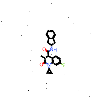 CC1C(=O)N(C2CC2)c2cc(F)ccc2C1C(=O)NC1Cc2ccccc2C1